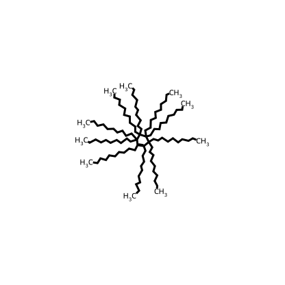 CCCCCCCCCCC1=C(CCCCCCCCCC)C(CCCCCCCCCC)(CCCCCCCCCC)C(CCCCCCCCCC)(CCCCCCCCCC)C(CCCCCCCCCC)(CCCCCCCCCC)C1(CCCCCCCCCC)CCCCCCCCCC